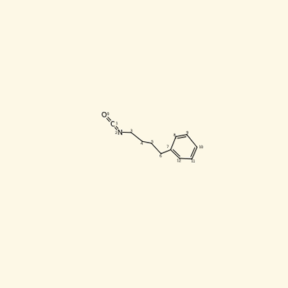 O=C=NCCCCc1[c]cccc1